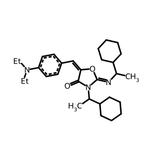 CCN(CC)c1ccc(/C=C2/OC(=NC(C)C3CCCCC3)N(C(C)C3CCCCC3)C2=O)cc1